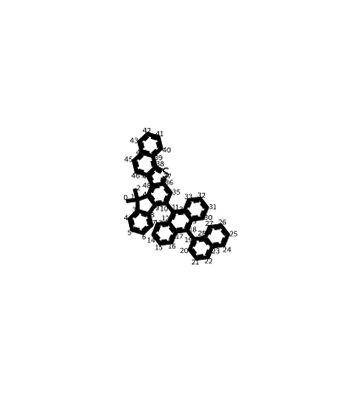 CC1(C)c2ccccc2-c2c(-c3c4ccccc4c(-c4cccc5ccccc45)c4ccccc34)cc3sc4c5ccccc5ccc4c3c21